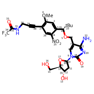 COc1cc([C@@H](OCc2cn([C@H]3C[C@H](O)[C@@H](CO)O3)c(=O)nc2N)C(C)(C)C)c([N+](=O)[O-])cc1C#CCNC(=O)C(F)(F)F